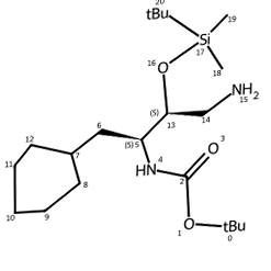 CC(C)(C)OC(=O)N[C@@H](CC1CCCCC1)[C@H](CN)O[Si](C)(C)C(C)(C)C